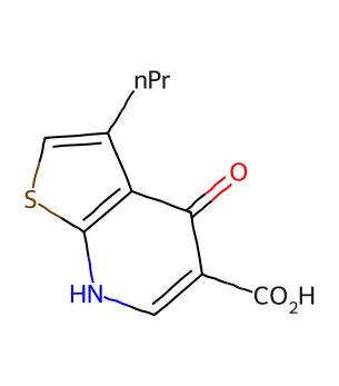 CCCc1csc2[nH]cc(C(=O)O)c(=O)c12